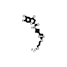 O=C1C[C@H](C(=O)NC23CC(c4cnc(OCCCOC(F)(F)F)o4)(C2)C3)Oc2cc(F)c(Cl)cc21